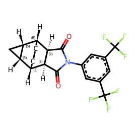 O=C1[C@@H]2[C@@H]3CC[C@@H]([C@@H]4C[C@@H]43)[C@@H]2C(=O)N1c1cc(C(F)(F)F)cc(C(F)(F)F)c1